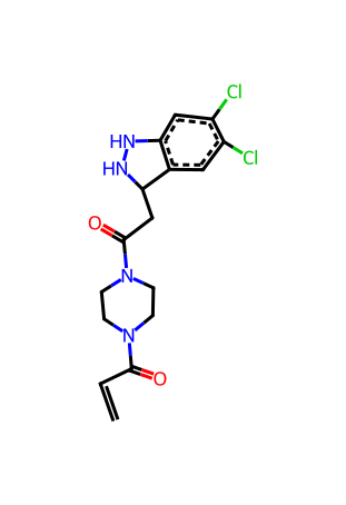 C=CC(=O)N1CCN(C(=O)CC2NNc3cc(Cl)c(Cl)cc32)CC1